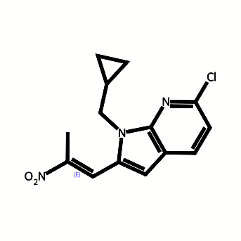 C/C(=C\c1cc2ccc(Cl)nc2n1CC1CC1)[N+](=O)[O-]